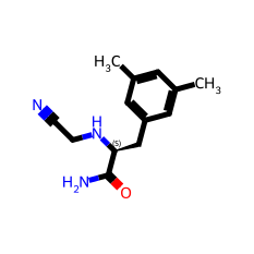 Cc1cc(C)cc(C[C@H](NCC#N)C(N)=O)c1